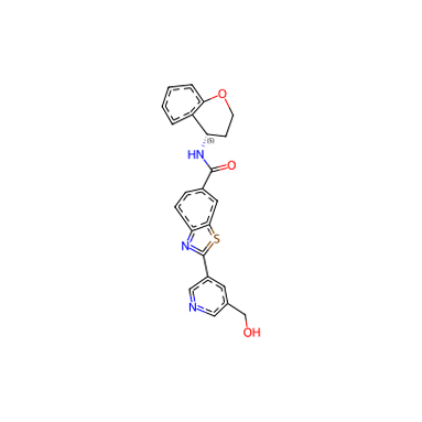 O=C(N[C@H]1CCOc2ccccc21)c1ccc2nc(-c3cncc(CO)c3)sc2c1